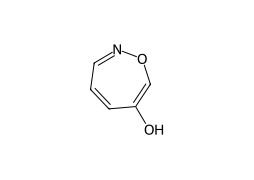 OC1=CON=CC=C1